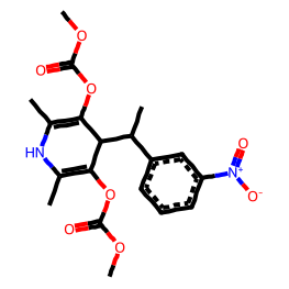 COC(=O)OC1=C(C)NC(C)=C(OC(=O)OC)C1C(C)c1cccc([N+](=O)[O-])c1